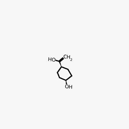 C=C(O)[C@H]1CC[C@@H](O)CC1